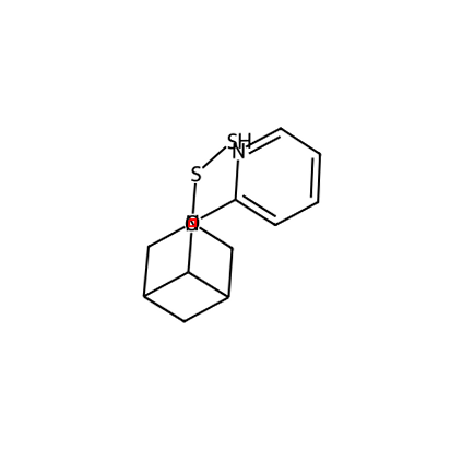 SSN1CC2CC(C1)C2Oc1ccccn1